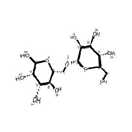 OC[C@H]1O[C@H](OC[C@H]2OC(O)[C@@H](O)[C@@H](O)[C@@H]2O)[C@@H](O)[C@@H](O)[C@@H]1O